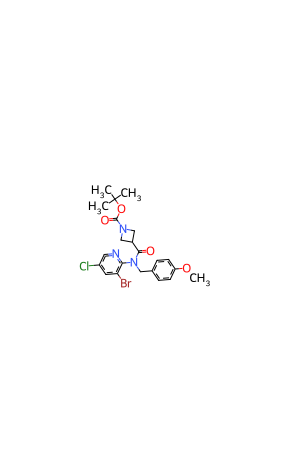 COc1ccc(CN(C(=O)C2CN(C(=O)OC(C)(C)C)C2)c2ncc(Cl)cc2Br)cc1